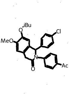 CC[C@@H](C)Oc1cc2c(cc1OC)CC(=O)N(c1ccc(C(C)=O)cc1)C2c1ccc(Cl)cc1